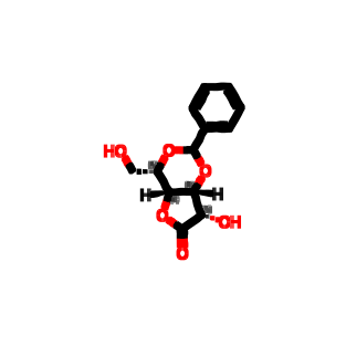 O=C1O[C@H]2[C@H](OC(c3ccccc3)O[C@H]2CO)[C@@H]1O